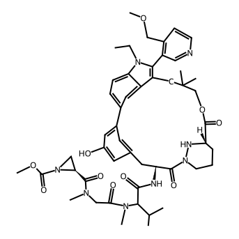 CCn1c(-c2cnccc2COC)c2c3cc(ccc31)-c1cc(O)cc(c1)C[C@H](NC(=O)C(C(C)C)N(C)C(=O)CN(C)C(=O)[C@@H]1CN1C(=O)OC)C(=O)N1CCC[C@H](N1)C(=O)OCC(C)(C)C2